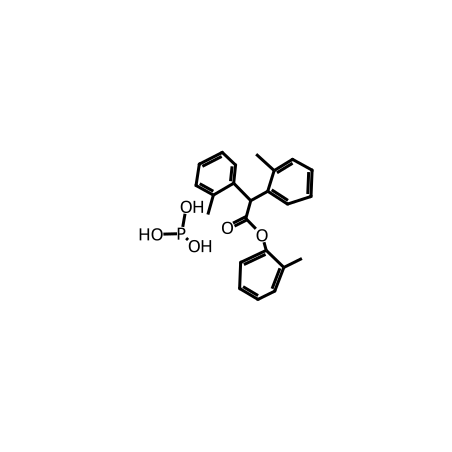 Cc1ccccc1OC(=O)C(c1ccccc1C)c1ccccc1C.OP(O)O